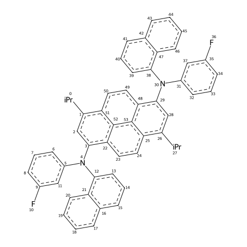 CC(C)c1cc(N(c2cccc(F)c2)c2cccc3ccccc23)c2ccc3c(C(C)C)cc(N(c4cccc(F)c4)c4cccc5ccccc45)c4ccc1c2c34